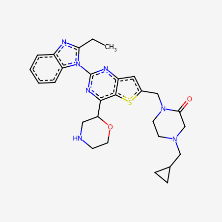 CCc1nc2ccccc2n1-c1nc(C2CNCCO2)c2sc(CN3CCN(CC4CC4)CC3=O)cc2n1